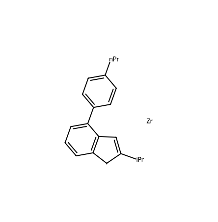 CCCc1ccc(-c2cccc3c2C=C(C(C)C)[CH]3)cc1.[Zr]